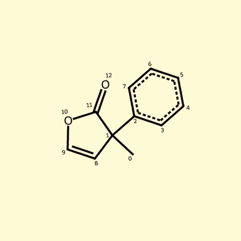 CC1(c2ccccc2)C=COC1=O